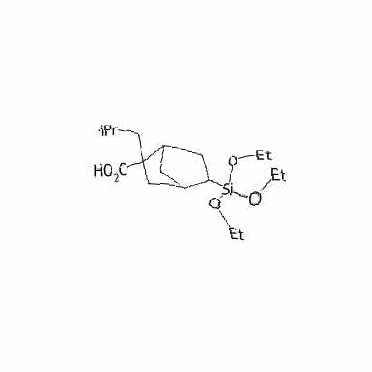 CCO[Si](OCC)(OCC)C1CC2CC1CC2(C[C](C)C)C(=O)O